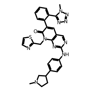 CN1CCC(c2ccc(Nc3ncc4cc(-c5ccccc5-c5nnnn5C)c(=O)n(Cc5nccs5)c4n3)cc2)C1